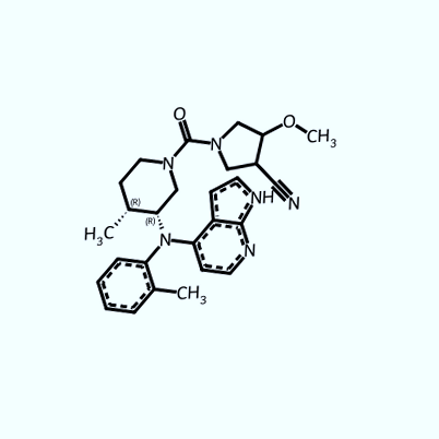 COC1CN(C(=O)N2CC[C@@H](C)[C@@H](N(c3ccccc3C)c3ccnc4[nH]ccc34)C2)CC1C#N